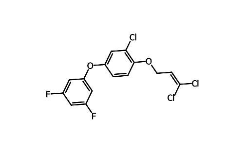 Fc1cc(F)cc(Oc2ccc(OCC=C(Cl)Cl)c(Cl)c2)c1